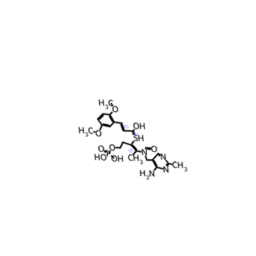 COc1ccc(OC)c(/C=C/C(O)=[SH]\C(CCOP(=O)(O)O)=C(\C)N(C=O)Cc2cnc(C)nc2N)c1